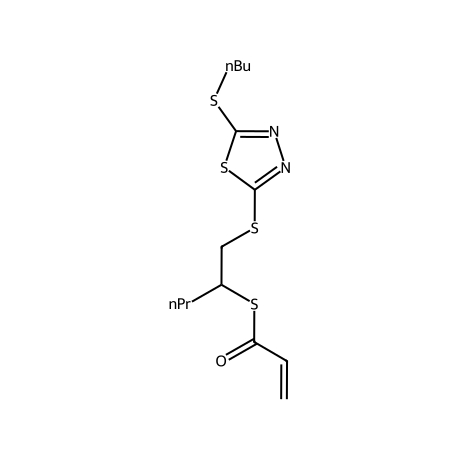 C=CC(=O)SC(CCC)CSc1nnc(SCCCC)s1